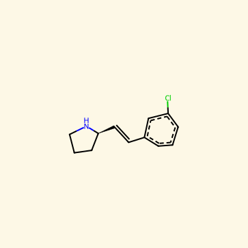 Clc1cccc(C=C[C@H]2CCCN2)c1